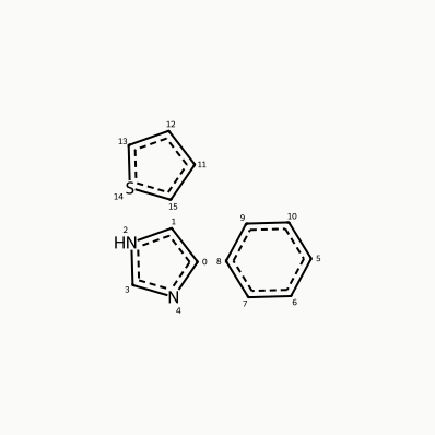 c1c[nH]cn1.c1ccccc1.c1ccsc1